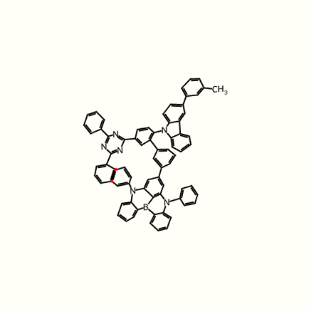 Cc1cccc(-c2ccc3c(c2)c2ccccc2n3-c2ccc(-c3nc(-c4ccccc4)nc(-c4ccccc4)n3)cc2-c2cccc(-c3cc4c5c(c3)N(c3ccccc3)c3ccccc3B5c3ccccc3N4c3ccccc3)c2)c1